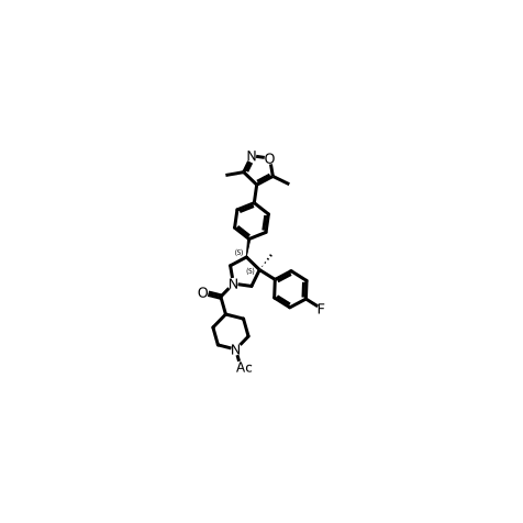 CC(=O)N1CCC(C(=O)N2C[C@@H](c3ccc(-c4c(C)noc4C)cc3)[C@@](C)(c3ccc(F)cc3)C2)CC1